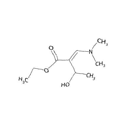 CCOC(=O)C(=CN(C)C)C(C)O